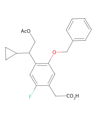 CC(=O)OCC(c1cc(F)c(CC(=O)O)cc1OCc1ccccc1)C1CC1